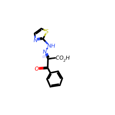 O=C(O)/C(=N\Nc1nccs1)C(=O)c1ccccc1